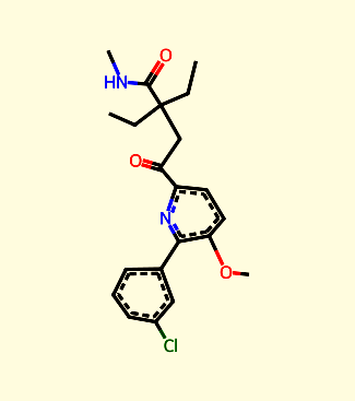 CCC(CC)(CC(=O)c1ccc(OC)c(-c2cccc(Cl)c2)n1)C(=O)NC